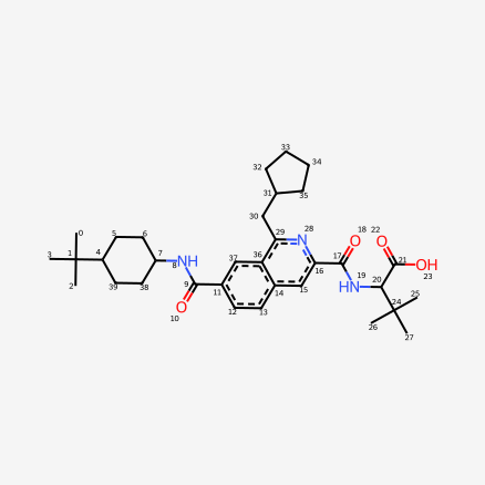 CC(C)(C)C1CCC(NC(=O)c2ccc3cc(C(=O)NC(C(=O)O)C(C)(C)C)nc(CC4CCCC4)c3c2)CC1